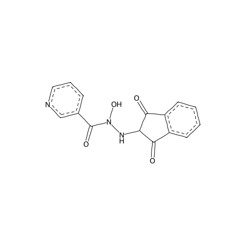 O=C1c2ccccc2C(=O)C1NN(O)C(=O)c1cccnc1